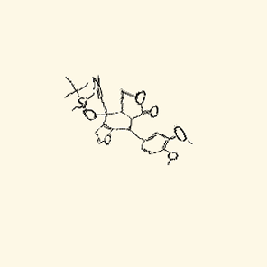 COc1ccc(C2c3occc3C(C#N)(O[Si](C)(C)C(C)(C)C)C3COC(=O)C23)cc1OC